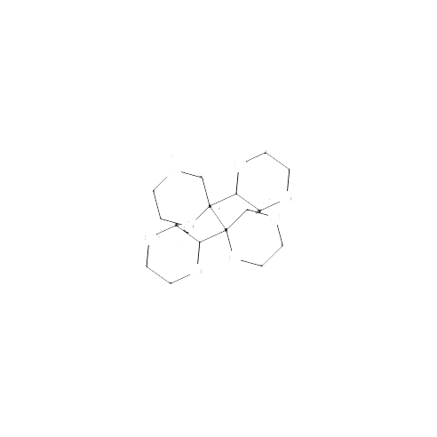 C1COC(C2(C3(C4COCCO4)COCCO3)COCCO2)CO1